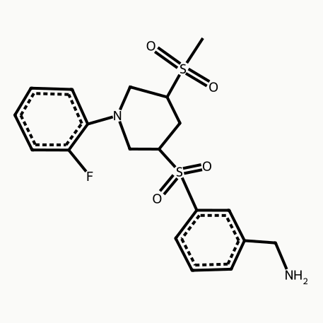 CS(=O)(=O)C1CC(S(=O)(=O)c2cccc(CN)c2)CN(c2ccccc2F)C1